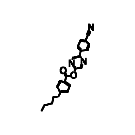 CCCCCc1ccc(C(=O)Oc2cnc(-c3ccc(C#N)cc3)cn2)cc1